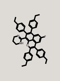 CCc1ccc(C2=C(c3ccc(CC)cc3)c3cc(F)cc4c(-c5ccc(CC)cc5)c(-c5ccc(CC)cc5)c(C5=NCCCN5)c(c34)O2)cc1